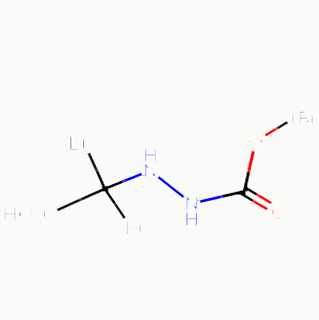 CCC(CC)(NNC(=O)OC(C)(C)C)C(=O)O